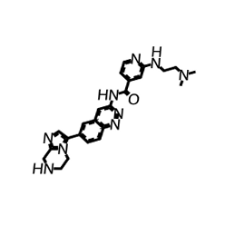 CN(C)CCNc1cc(C(=O)Nc2cc3cc(-c4cnc5n4CCNC5)ccc3nn2)ccn1